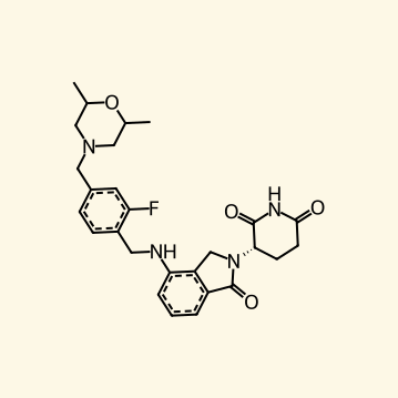 CC1CN(Cc2ccc(CNc3cccc4c3CN([C@H]3CCC(=O)NC3=O)C4=O)c(F)c2)CC(C)O1